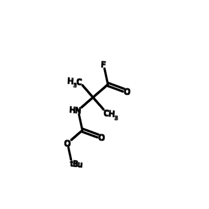 CC(C)(C)OC(=O)NC(C)(C)C(=O)F